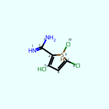 Cl.N=C(N)C1=CC=C(Cl)[SH]1Cl